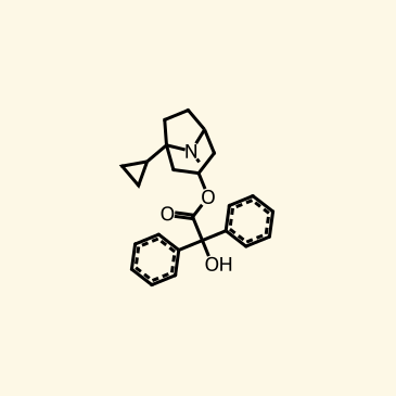 CN1C2CCC1(C1CC1)CC(OC(=O)C(O)(c1ccccc1)c1ccccc1)C2